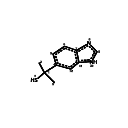 CC(C)(S)c1ccc2nc[nH]c2c1